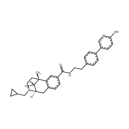 C[C@H]1[C@H]2Cc3ccc(C(=O)NCCc4ccc(-c5ccc(O)nc5)cc4)cc3[C@@]1(C)CCN2CC1CC1